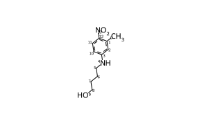 Cc1cc(NCCCCO)ccc1[N+](=O)[O-]